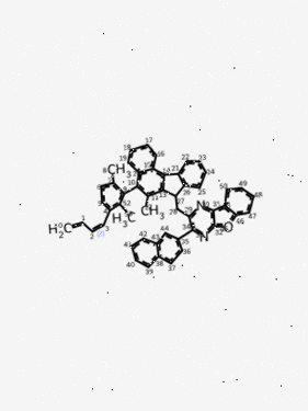 C=C/C=C\c1ccc(C)c(-c2c(C)c3c(c4ccccc24)-c2ccccc2C3Cc2nc3c(nc2-c2ccc4ccccc4c2)oc2ccccc23)c1C